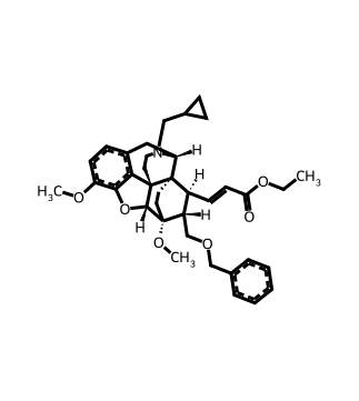 CCOC(=O)/C=C/[C@H]1[C@H](COCc2ccccc2)[C@]2(OC)CC[C@]13[C@H]1Cc4ccc(OC)c5c4[C@@]3(CCN1CC1CC1)[C@H]2O5